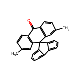 Cc1ccc2c(c1)C1(c3cc(C)ccc3C2=O)c2ccccc2-c2ccccc21